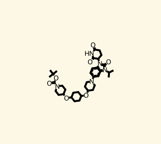 CC(C)n1c(=O)n(C2CCC(=O)NC2=O)c2ccc(N3CCC(OC4CCC(OC5CCN(C(=O)OC(C)(C)C)CC5)CC4)CC3)cc21